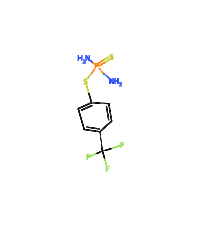 NP(N)(=S)Sc1ccc(C(F)(F)F)cc1